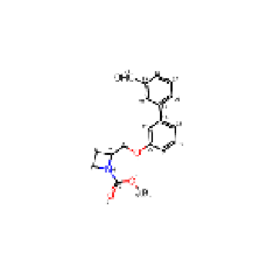 CC(C)(C)OC(=O)N1CCC1COc1cccc(-c2cccc(C=O)c2)c1